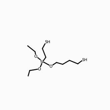 CCO[Si](CCS)(OCC)OCCCCS